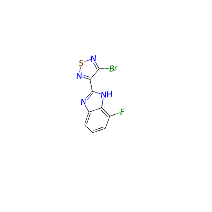 Fc1cccc2nc(-c3nsnc3Br)[nH]c12